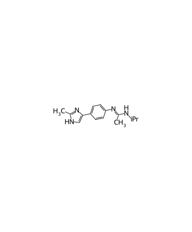 C/C(=N\c1ccc(-c2c[nH]c(C)n2)cc1)NC(C)C